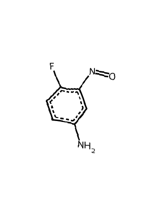 Nc1ccc(F)c(N=O)c1